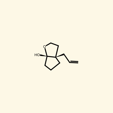 C=CC[C@@]12CCC[C@]1(O)OCC2